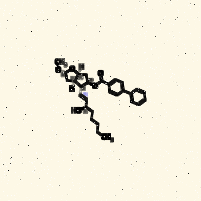 CCCCC[C@@H](O)/C=C/[C@@H]1[C@H]2C[C@H](OC)O[C@H]2C[C@H]1OC(=O)c1ccc(-c2ccccc2)cc1